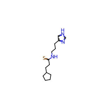 S=C(CCC1CCCC1)NCCCc1c[nH]cn1